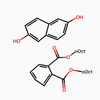 CCCCCCCCOC(=O)c1ccccc1C(=O)OCCCCCCCC.Oc1ccc2cc(O)ccc2c1